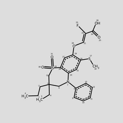 CCCC1(CC)CN(c2ccccc2)c2cc(SC)c(OC=C(F)C(=O)O)cc2S(=O)(=O)C1